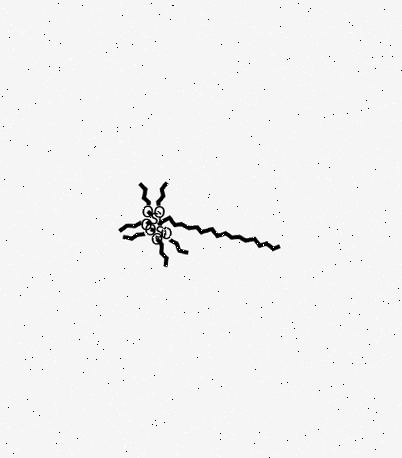 CCCCCCCCCCCCCCCCCC([Si](OCCCC)(OCCCC)OCCCC)[Si](OCCCC)(OCCCC)OCCCC